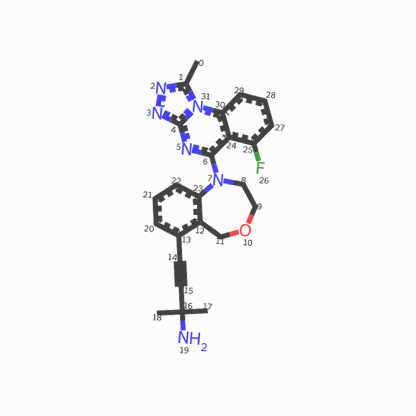 Cc1nnc2nc(N3CCOCc4c(C#CC(C)(C)N)cccc43)c3c(F)cccc3n12